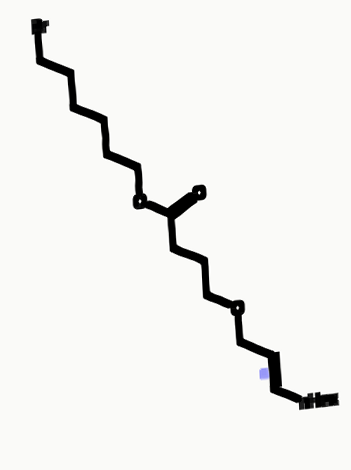 CCCCCC/C=C/COCCCC(=O)OCCCCCCBr